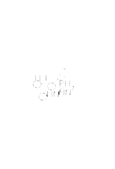 PCC1C2CC3CC(C2)CC1(c1cc(-c2ccccc2)c(-c2ccccc2)cc1C(P)(C1CCCN1)C1CCCN1)C3